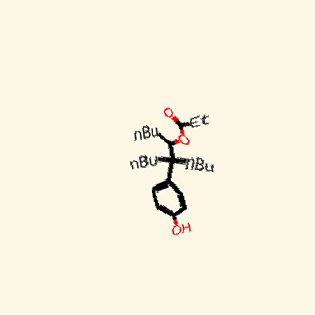 CCCCC(OC(=O)CC)C(CCCC)(CCCC)c1ccc(O)cc1